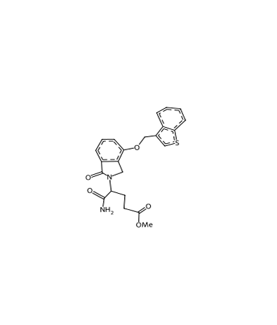 COC(=O)CCC(C(N)=O)N1Cc2c(OCc3csc4ccccc34)cccc2C1=O